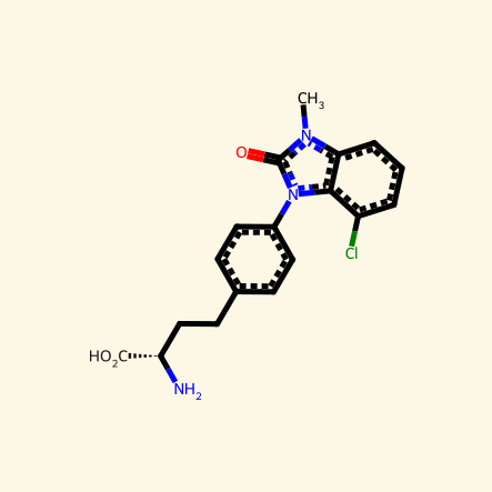 Cn1c(=O)n(-c2ccc(CC[C@H](N)C(=O)O)cc2)c2c(Cl)cccc21